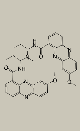 CCC(NC(=O)c1cccc2nc3ccc(OC)cc3nc12)N(C)C(CC)NC(=O)c1cccc2nc3ccc(OC)cc3nc12